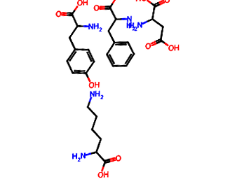 NC(CC(=O)O)C(=O)O.NC(Cc1ccc(O)cc1)C(=O)O.NC(Cc1ccccc1)C(=O)O.NCCCCC(N)C(=O)O